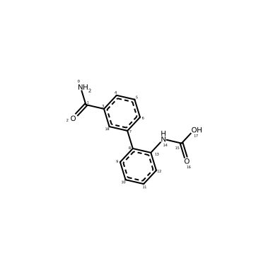 NC(=O)c1cccc(-c2ccccc2NC(=O)O)c1